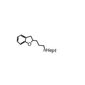 CCCCCCCCCCC1Cc2ccccc2O1